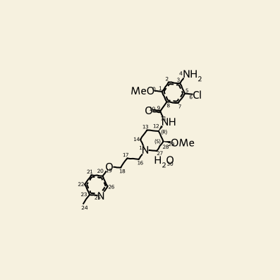 COc1cc(N)c(Cl)cc1C(=O)N[C@@H]1CCN(CCCOc2ccc(C)nc2)C[C@@H]1OC.O